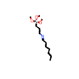 CCCCCC/C=N/CCC[Si](OC)(OC)OC